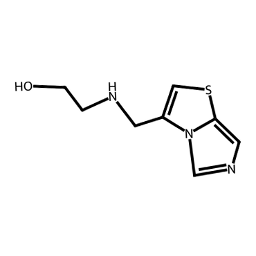 OCCNCc1csc2cncn12